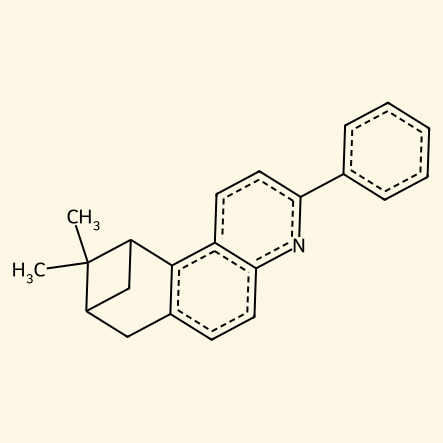 CC1(C)C2Cc3ccc4nc(-c5ccccc5)ccc4c3C1C2